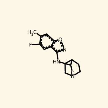 Cc1cc2onc(NC3CN4CCC3CC4)c2cc1F